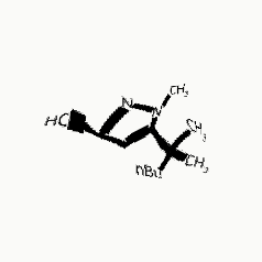 C#Cc1cc(C(C)(C)CCCC)n(C)n1